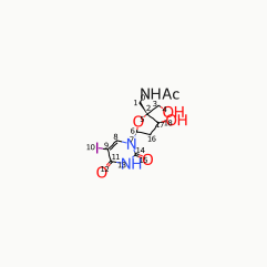 CC(=O)NC[C@]1(CO)O[C@@H](n2cc(I)c(=O)[nH]c2=O)C[C@@H]1O